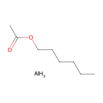 CCCCCCOC(C)=O.[AlH3]